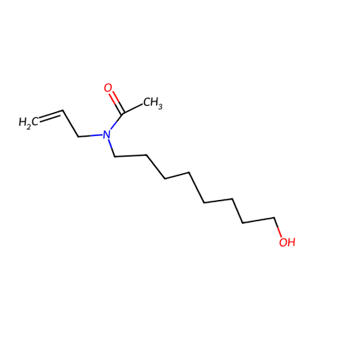 C=CCN(CCCCCCCCO)C(C)=O